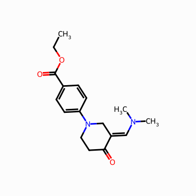 CCOC(=O)c1ccc(N2CCC(=O)C(=CN(C)C)C2)cc1